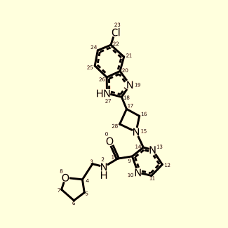 O=C(NCC1CCCO1)c1nccnc1N1CC(c2nc3cc(Cl)ccc3[nH]2)C1